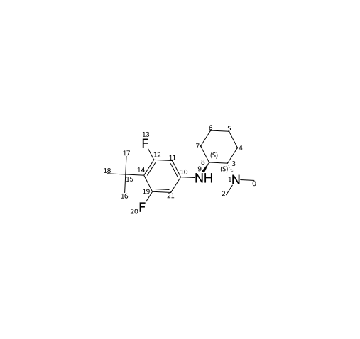 CN(C)[C@H]1CCCC[C@@H]1Nc1cc(F)c(C(C)(C)C)c(F)c1